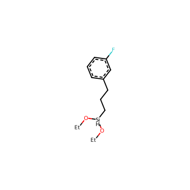 CCO[SiH](CCCc1cccc(F)c1)OCC